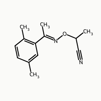 C/C(=N\OC(C)C#N)c1cc(C)ccc1C